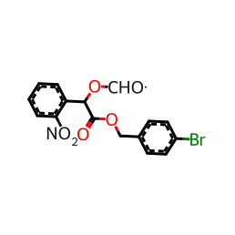 O=[C]OC(C(=O)OCc1ccc(Br)cc1)c1ccccc1[N+](=O)[O-]